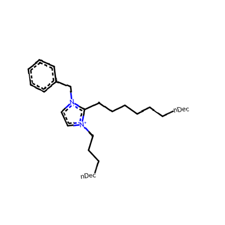 CCCCCCCCCCCCCCCCc1n(Cc2ccccc2)cc[n+]1CCCCCCCCCCCCC